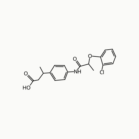 CC(Oc1ccccc1Cl)C(=O)Nc1ccc(C(C)CC(=O)O)cc1